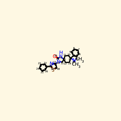 CN(C)C1(c2ccccc2)CCC2(CC1)CN(c1csc(-c3ccccc3)n1)C(=O)N2